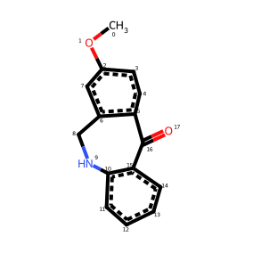 COc1ccc2c(c1)CNc1ccccc1C2=O